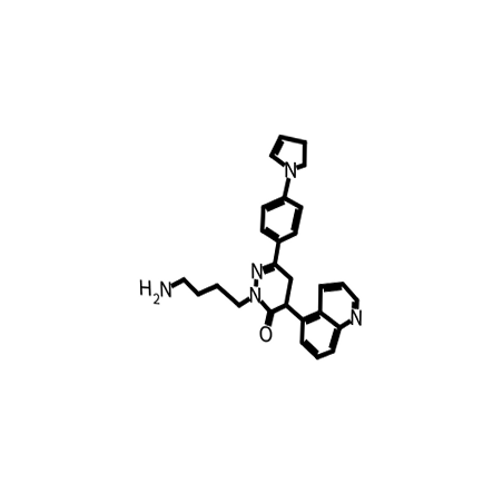 NCCCCN1N=C(c2ccc(N3C=CCC3)cc2)CC(c2cccc3ncccc23)C1=O